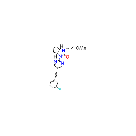 COCCCN1C(=O)N(c2ncc(C#Cc3cccc(F)c3)cn2)[C@@H]2CCC[C@@H]21